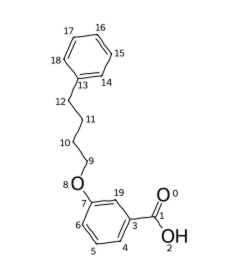 O=C(O)c1cccc(OCCCCc2ccccc2)c1